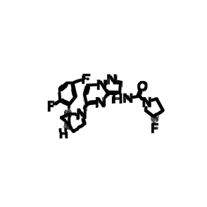 O=C(Nc1cnn2ccc(N3CC[C@H]4C[C@]43c3cc(F)ccc3F)nc12)N1CC[C@H](F)C1